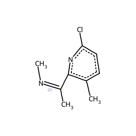 C/N=C(/C)c1nc(Cl)ccc1C